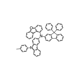 Cc1ccc(-n2c3ccccc3c3cc(N(c4ccc5c(c4)C(c4ccccc4)(c4ccccc4)c4ccccc4-5)c4cccc5oc6ccccc6c45)ccc32)cc1